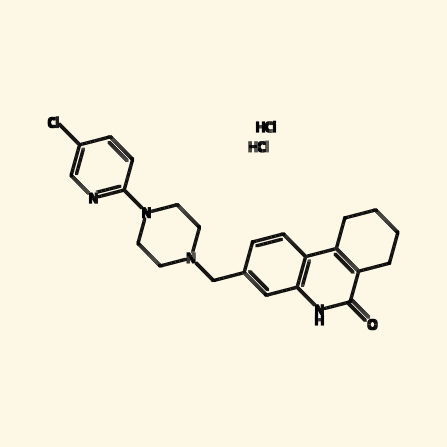 Cl.Cl.O=c1[nH]c2cc(CN3CCN(c4ccc(Cl)cn4)CC3)ccc2c2c1CCCC2